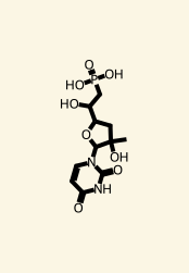 CC1(O)CC(C(O)CP(=O)(O)O)OC1n1ccc(=O)[nH]c1=O